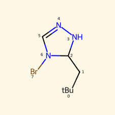 CC(C)(C)CC1NN=CN1Br